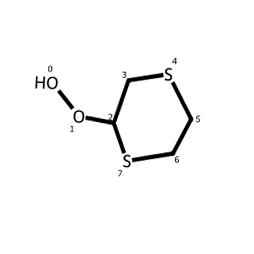 OOC1CSCCS1